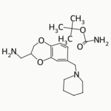 CC(C)(C)OC(N)=O.NCC1COc2ccc(CN3CCCCC3)cc2O1